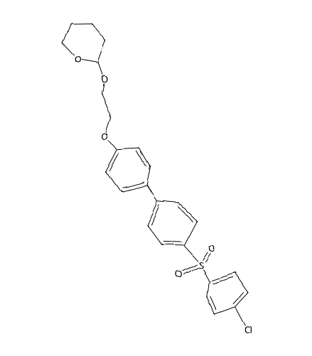 O=S(=O)(c1ccc(Cl)cc1)c1ccc(-c2ccc(OCCOC3CCCCO3)cc2)cc1